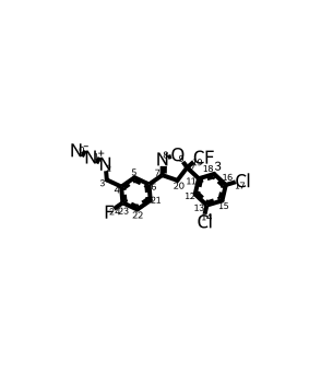 [N-]=[N+]=NCc1cc(C2=NOC(c3cc(Cl)cc(Cl)c3)(C(F)(F)F)C2)ccc1F